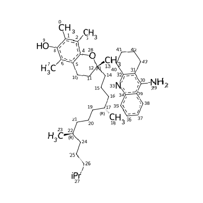 Cc1c(C)c2c(c(C)c1O)CC[C@@](C)(CCC[C@H](C)CCC[C@H](C)CCCC(C)C)O2.Nc1c2c(nc3ccccc13)CCCC2